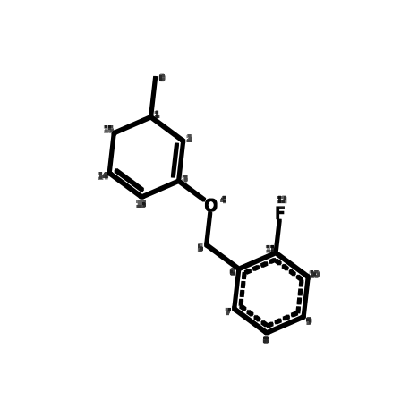 CC1C=C(OCc2ccccc2F)C=CC1